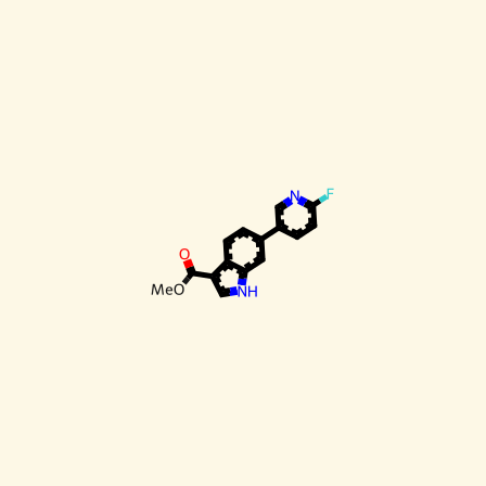 COC(=O)c1c[nH]c2cc(-c3ccc(F)nc3)ccc12